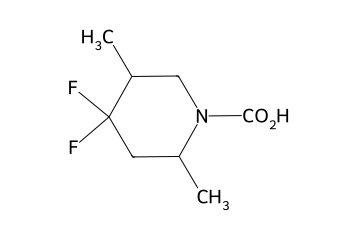 CC1CC(F)(F)C(C)CN1C(=O)O